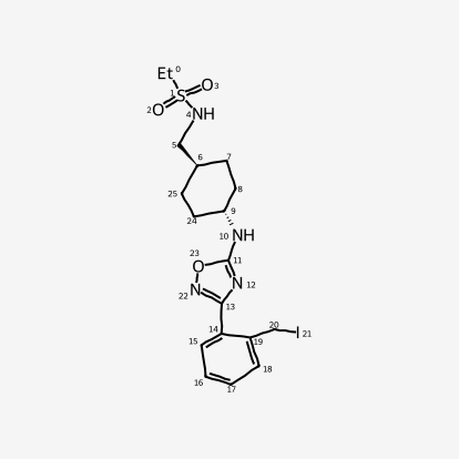 CCS(=O)(=O)NC[C@H]1CC[C@H](Nc2nc(-c3ccccc3CI)no2)CC1